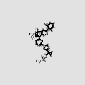 CC1(C)[C@H]2CC[C@@]1(c1ccnc(-n3cnc(C4(COS(C)(=O)=O)CC4)n3)n1)c1nnc(-c3c(F)cccc3F)cc12